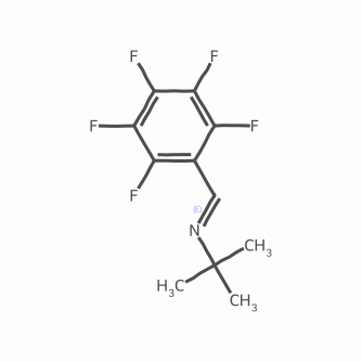 CC(C)(C)/N=C/c1c(F)c(F)c(F)c(F)c1F